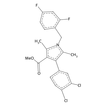 COC(=O)c1c(-c2ccc(Cl)c(Cl)c2)c(C)n(Cc2ccc(F)cc2F)c1C